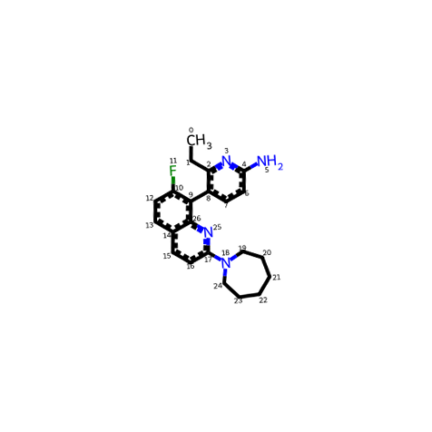 CCc1nc(N)ccc1-c1c(F)ccc2ccc(N3CCCCCC3)nc12